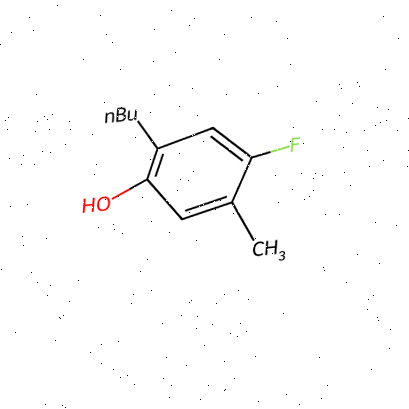 CCCCc1cc(F)c(C)cc1O